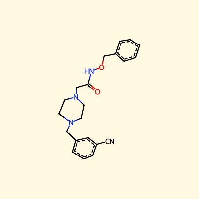 N#Cc1cccc(CN2CCN(CC(=O)NOCc3ccccc3)CC2)c1